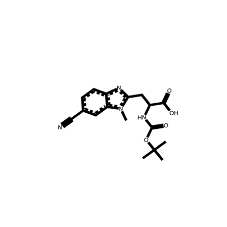 Cn1c(CC(NC(=O)OC(C)(C)C)C(=O)O)nc2ccc(C#N)cc21